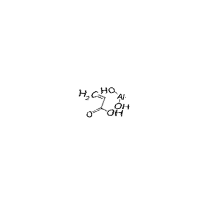 C=CC(=O)O.[OH][Al][OH]